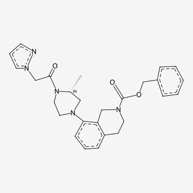 C[C@@H]1CN(c2cccc3c2CN(C(=O)OCc2ccccc2)CC3)CCN1C(=O)Cn1cccn1